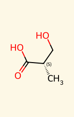 C[C@@H](CO)C(=O)O